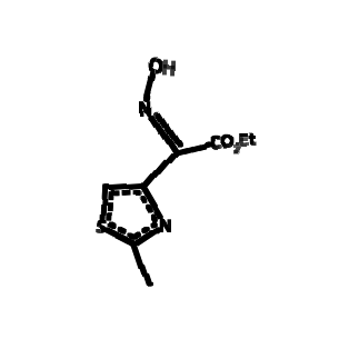 CCOC(=O)/C(=N\O)c1csc(C)n1